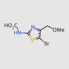 COCc1nc(NC(=O)O)sc1Br